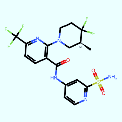 C[C@H]1CN(c2nc(C(F)(F)F)ccc2C(=O)Nc2ccnc(S(N)(=O)=O)c2)CCC1(F)F